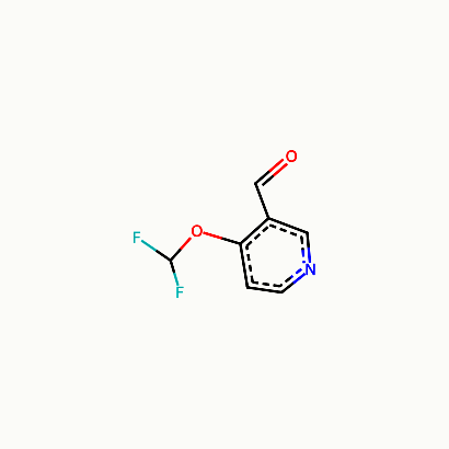 O=Cc1cnccc1OC(F)F